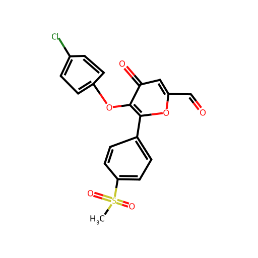 CS(=O)(=O)c1ccc(-c2oc(C=O)cc(=O)c2Oc2ccc(Cl)cc2)cc1